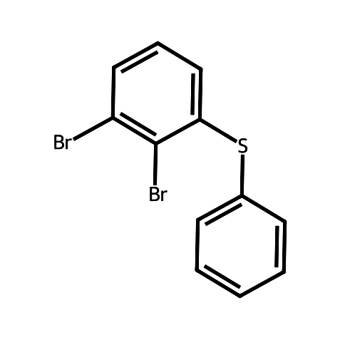 Brc1cccc(Sc2ccccc2)c1Br